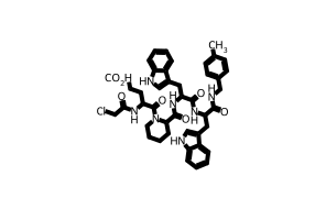 Cc1ccc(CNC(=O)C(Cc2c[nH]c3ccccc23)NC(=O)C(Cc2c[nH]c3ccccc23)NC(=O)C2CCCCN2C(=O)C(CCC(=O)O)NC(=O)CCl)cc1